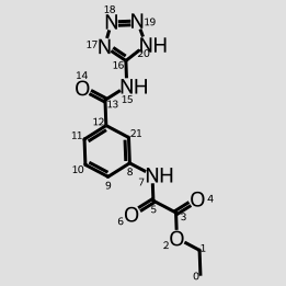 CCOC(=O)C(=O)Nc1cccc(C(=O)Nc2nnn[nH]2)c1